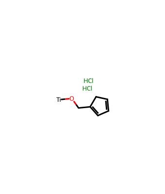 Cl.Cl.[Ti][O]CC1=CC=CC1